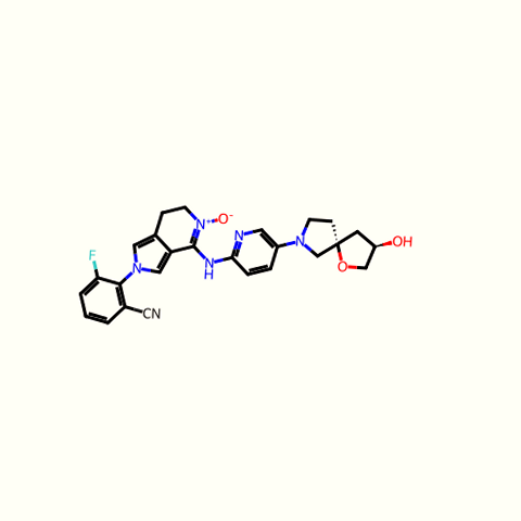 N#Cc1cccc(F)c1-n1cc2c(c1)C(Nc1ccc(N3CC[C@@]4(C[C@@H](O)CO4)C3)cn1)=[N+]([O-])CC2